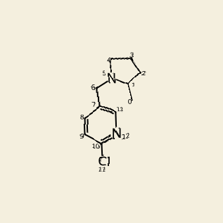 CC1CCCN1Cc1ccc(Cl)nc1